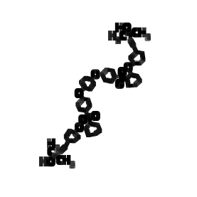 CC(C)(O)C#Cc1ccc(Oc2ccccc2S(=O)(=O)c2ccc(Oc3ccc(Oc4ccc(S(=O)(=O)c5ccccc5Oc5cccc(C#CC(C)(C)O)c5)cc4)cc3)cc2)cc1